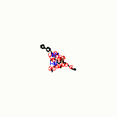 C#CCOCCOCCS[C@@]1(C(=O)OC)C[C@H](OC(C)=O)[C@@H](NC(=O)COC(C)=O)[C@H]([C@H](OC(C)=O)[C@@H](CNC(=O)Cc2ccc(-c3ccccc3)cc2)OC(C)=O)O1